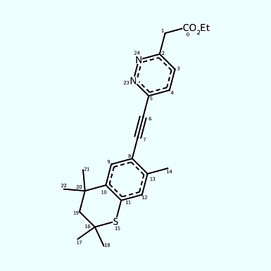 CCOC(=O)Cc1ccc(C#Cc2cc3c(cc2C)SC(C)(C)CC3(C)C)nn1